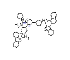 CCC(/C=C(\N=C(/N)c1ccccc1)C1=CCC(C)(c2cccc3c2sc2ccccc23)C=C1)c1ccc(C2Nc3c(ccc4ccccc34)-c3c2sc2ccccc32)cc1